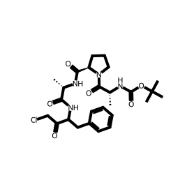 C[C@H](NC(=O)[C@H]1CCCN1C(=O)[C@@H](C)NC(=O)OC(C)(C)C)C(=O)NC(Cc1ccccc1)C(=O)CCl